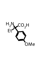 CC[C@@](N)(C(=O)O)c1ccc(OC)cc1